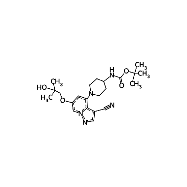 CC(C)(O)COc1cc(N2CCC(NC(=O)OC(C)(C)C)CC2)c2c(C#N)cnn2c1